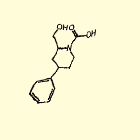 O=C(O)N1CCC(c2ccccc2)CC1CO